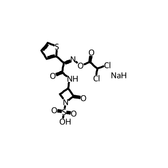 O=C(NC1CN(S(=O)(=O)O)C1=O)C(=NOC(=O)C(Cl)Cl)c1cccs1.[NaH]